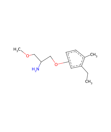 CCc1cc(OCC(N)COC)ccc1C